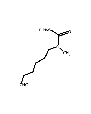 CCCCCCCC(=O)N(C)CCCCC[C]=O